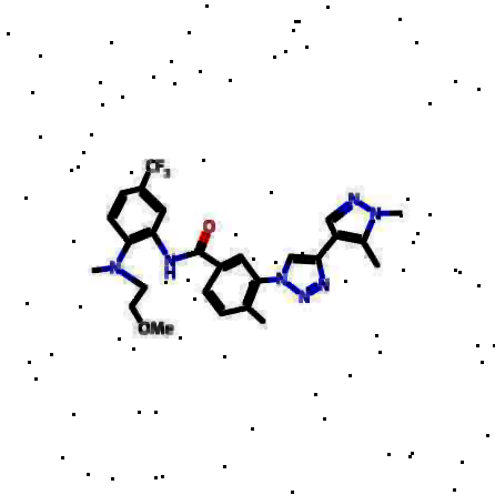 COCCN(C)c1ccc(C(F)(F)F)cc1NC(=O)c1ccc(C)c(-n2cc(-c3cnn(C)c3C)nn2)c1